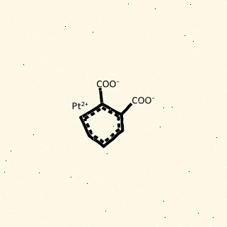 O=C([O-])c1ccccc1C(=O)[O-].[Pt+2]